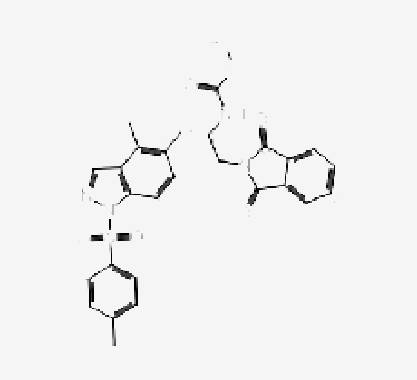 Cc1ccc(S(=O)(=O)n2ncc3c(C)c(C[C@@H](CN4C(=O)c5ccccc5C4=O)NC(=O)OC(C)(C)C)ccc32)cc1